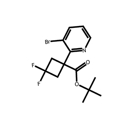 CC(C)(C)OC(=O)C1(c2ncccc2Br)CC(F)(F)C1